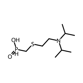 CC(C)N(CCSC[PH](=O)O)C(C)C